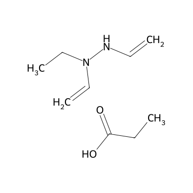 C=CNN(C=C)CC.CCC(=O)O